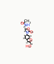 CC(=O)NC[C@H]1CN(c2ccc3cc(CO)oc3c2)C(=O)O1